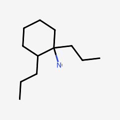 CCCC1CCCCC1([N])CCC